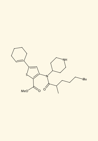 CCC(C)CCCC(C)C(=O)N(c1cc(C2=CCCCC2)sc1C(=O)OC)C1CCNCC1